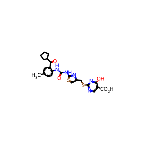 Cc1ccc(NC(=O)Nc2nc(CSc3ncc(C(=O)O)c(O)n3)cs2)c(C(=O)C2CCCC2)c1